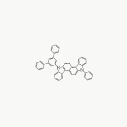 c1ccc(-c2cc(-c3ccccc3)cc(-n3c4ccccc4c4c5ccc6c(c5ccc43)c3ccccc3n6-c3ccccc3)c2)cc1